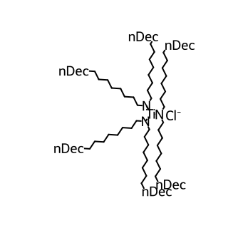 CCCCCCCCCCCCCCCCCC[N](CCCCCCCCCCCCCCCCCC)[Ti]([N](CCCCCCCCCCCCCCCCCC)CCCCCCCCCCCCCCCCCC)[N](CCCCCCCCCCCCCCCCCC)CCCCCCCCCCCCCCCCCC.[Cl-]